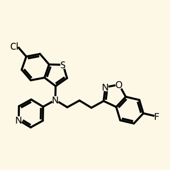 Fc1ccc2c(CCCN(c3ccncc3)c3csc4cc(Cl)ccc34)noc2c1